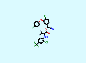 CC(C)C(Nc1ccc(C(F)(F)F)cc1Cl)C(=O)OC(C#N)c1ccc(F)c(Oc2ccc(F)cc2)c1